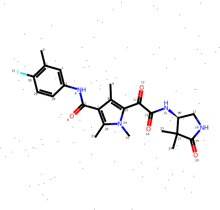 Cc1cc(NC(=O)c2c(C)c(C(=O)C(=O)N[C@H]3CNC(=O)C3(C)C)n(C)c2C)ccc1F